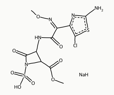 CO/N=C(\C(=O)NC1C(=O)N(S(=O)(=O)O)C1C(=O)OC)c1nc(N)sc1Cl.[NaH]